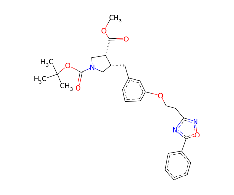 COC(=O)[C@H]1CN(C(=O)OC(C)(C)C)C[C@H]1Cc1cccc(OCCc2noc(-c3ccccc3)n2)c1